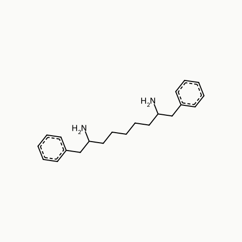 NC(CCCCCC(N)Cc1ccccc1)Cc1ccccc1